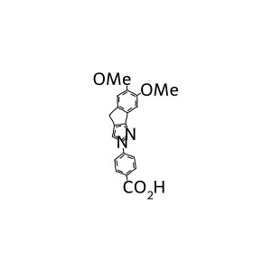 COc1cc2c(cc1OC)-c1nn(-c3ccc(C(=O)O)cc3)cc1C2